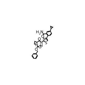 NC(=O)c1cc(C2CC2)ccc1-c1csc(NC(=O)C2CCN2C(=O)OCc2ccccc2)n1